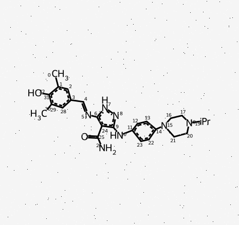 Cc1cc(C=Nc2[nH]nc(Nc3ccc(N4CCN(C(C)C)CC4)cc3)c2C(N)=O)cc(C)c1O